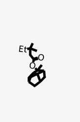 CCC(C)(C)CC(=O)OC1(C)C2CC3CC(C2)CC1C3